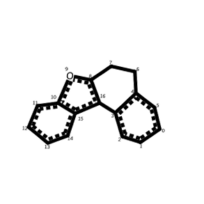 c1ccc2c(c1)CCc1oc3ccccc3c1-2